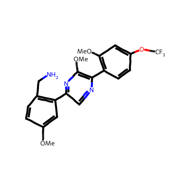 COc1ccc(CN)c(-c2cnc(-c3ccc(OC(F)(F)F)cc3OC)c(OC)n2)c1